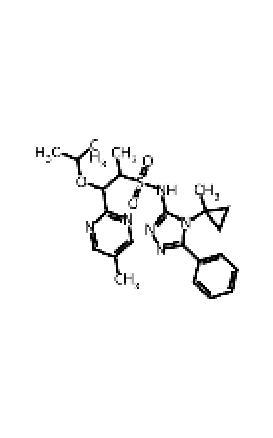 Cc1cnc(C(OC(C)C)C(C)S(=O)(=O)Nc2nnc(-c3ccccc3)n2C2(C)CC2)nc1